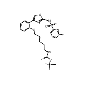 CC(C)(C)OC(=O)NCCCCCOc1ccccc1-c1csc(NS(=O)(=O)c2cccc(F)n2)n1